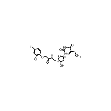 CCc1cn([C@@H]2CC(O)[C@H](CNC(=O)COc3ccc(Cl)cc3Cl)O2)c(=O)[nH]c1=O